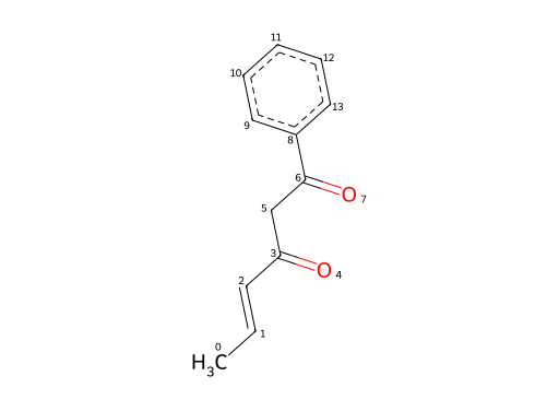 CC=CC(=O)CC(=O)c1ccccc1